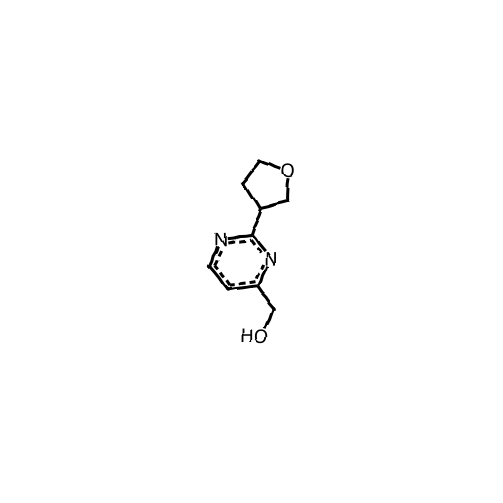 OCc1ccnc(C2CCOC2)n1